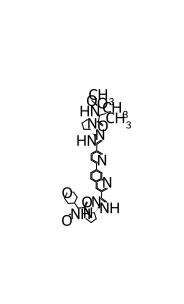 COC(=O)N[C@H](C(=O)N1CCC[C@H]1c1ncc(-c2ccc(-c3ccc4cc(-c5c[nH]c([C@@H]6CCCN6C(=O)[C@@H](NC=O)C6CCOCC6)n5)cnc4c3)nc2)[nH]1)C(C)C